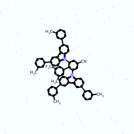 Cc1cccc(-c2ccc3c(c2)c2cc(-c4cccc(C)c4)ccc2n3-c2cc(C#N)cc(-n3c4ccc(-c5cccc(C)c5)cc4c4cc(-c5cccc(C)c5)ccc43)c2-c2cc(C)cc(C(F)(F)F)c2)c1